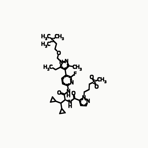 CCc1c(-c2ccc(NC(=O)[C@@H](NC(=O)c3ccnn3CCCS(C)(=O)=O)C(C3CC3)C3CC3)nc2F)c(C)nn1COCCS(C)(C)C